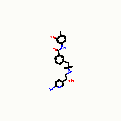 Cc1ccc(NC(=O)c2cccc(CC(C)(C)NC[C@H](O)c3ccc(N)nc3)c2)cc1O